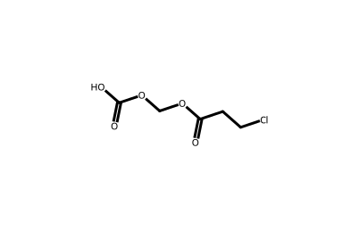 O=C(O)OCOC(=O)CCCl